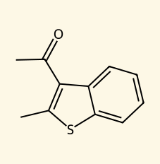 CC(=O)c1c(C)sc2ccccc12